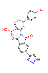 COc1ccc(-c2ccc(C(=O)O)c(N3C(=O)c4ccc(-c5c[nH]nn5)cc4C3=O)c2)cc1